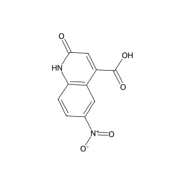 O=C(O)c1cc(=O)[nH]c2ccc([N+](=O)[O-])cc12